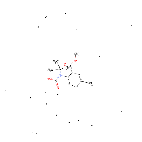 COC(=O)C1CC(C)CCC1N(C(=O)O)C(C)(C)C